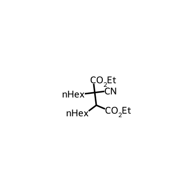 CCCCCCC(C(=O)OCC)C(C#N)(CCCCCC)C(=O)OCC